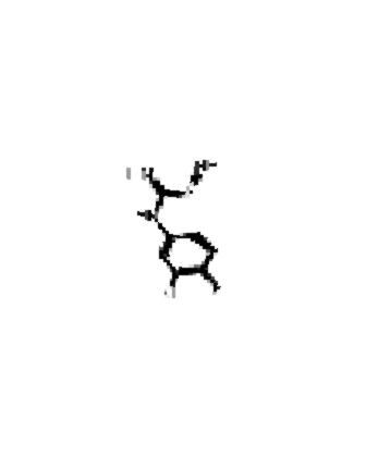 N=NC(=N)Nc1ccc(F)c(Cl)c1